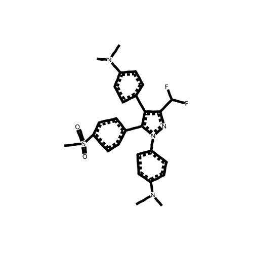 CN(C)c1ccc(-c2c(C(F)F)nn(-c3ccc(N(C)C)cc3)c2-c2ccc(S(C)(=O)=O)cc2)cc1